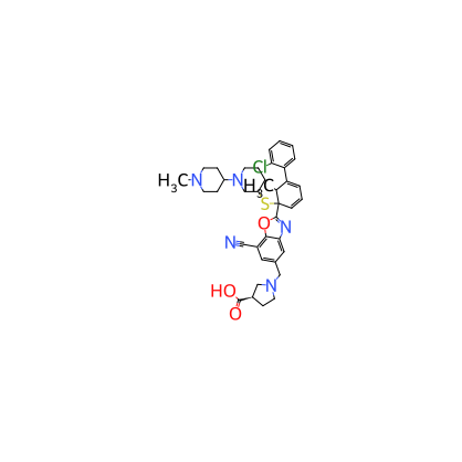 CC1C(c2ccccc2Cl)=CC=CC1(SC1CCCN(C2CCN(C)CC2)C1)c1nc2cc(CN3CC[C@@H](C(=O)O)C3)cc(C#N)c2o1